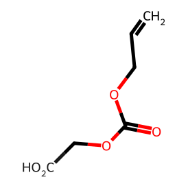 C=CCOC(=O)OCC(=O)O